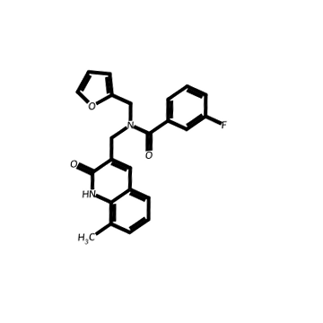 Cc1cccc2cc(CN(Cc3ccco3)C(=O)c3cccc(F)c3)c(=O)[nH]c12